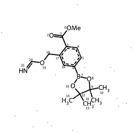 COC(=O)c1ccc(B2OC(C)(C)C(C)(C)O2)cc1COC=N